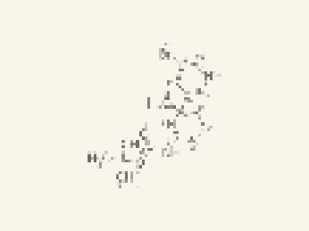 CC(C)(C)OC(=O)NC1=N[C@](C)(c2cncc(Br)c2)CCS1